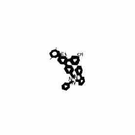 CCC1(c2ccc(-c3ccc(-c4nc(-c5ccccc5)nc(-c5ccccc5-c5ccccc5)n4)cc3)c(-c3cccc(C#N)c3)c2)C[C@H](C)CC[C@H](C)C1